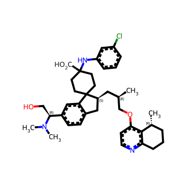 C[C@@H](COc1ccnc2c1[C@H](C)CCC2)C[C@H]1Cc2ccc([C@H](CO)N(C)C)cc2C12CCC(Nc1cccc(Cl)c1)(C(=O)O)CC2